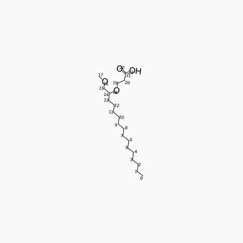 CCCCCCCCCCCCCCC(COC)OCCC(=O)O